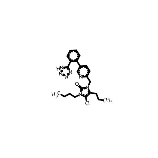 CCCCn1c(Cl)c(CCC)n(Cc2ccc(-c3ccccc3-c3nnn[nH]3)cn2)c1=O